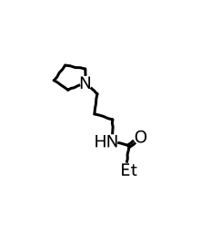 CCC(=O)NCCCN1CCCC1